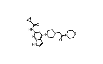 O=C(Nc1cc(N2CCN(CC(=O)N3CCSCC3)CC2)c2cc[nH]c2n1)C1CC1